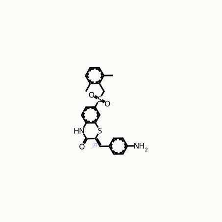 Cc1cccc(C)c1CS(=O)(=O)c1ccc2c(c1)S/C(=C\c1ccc(N)cc1)C(=O)N2